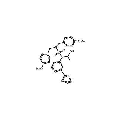 COc1ccc(CN(Cc2ccc(OC)cc2)S(=O)(=O)C(c2cccc(-c3nn[nH]n3)n2)C(C)O)cc1